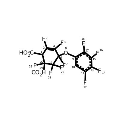 O=C(O)C1C(F)=C(F)C(F)(Oc2cc(F)c(F)c(F)c2F)C(F)(F)C1(F)C(=O)O